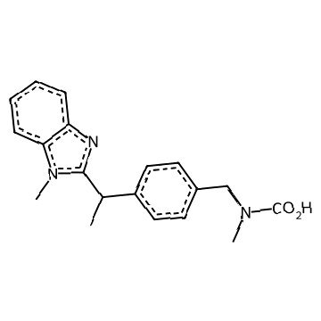 CC(c1ccc(CN(C)C(=O)O)cc1)c1nc2ccccc2n1C